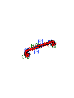 CN1Cc2c(Cl)cc(Cl)cc2[C@H](c2cccc(-c3cn(CCOCCOCCOCCNC(=O)Nc4ccc(NC(=O)NCCOCCOCCOCCn5cc(-c6cccc([C@@H]7CN(C)Cc8c(Cl)cc(Cl)cc87)c6)nn5)cc4)nn3)c2)C1.Cl